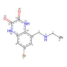 CC(C)[CH]NCc1cc(Br)cc2[nH]c(=O)c(=O)[nH]c12